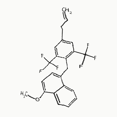 C=CCc1cc(C(F)(F)F)c(Cc2ccc(OC)c3ccccc23)c(C(F)(F)F)c1